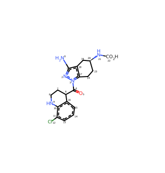 Nc1nn(C(=O)C2CCNc3c(Cl)cccc32)c2c1C[C@@H](NC(=O)O)CC2